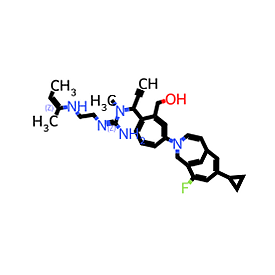 C#CC(C1=CC=CC(N2C=CC3C=C(C2)C(F)=CC(C2CC2)=C3)=C=C1CO)N(C)/C(N)=N\CCN/C(C)=C\C